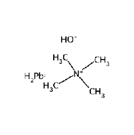 C[N+](C)(C)C.[OH-].[PbH2]